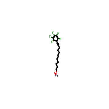 CCOCCCCCCCCCCCC#Cc1c(F)c(F)c(F)c(F)c1F